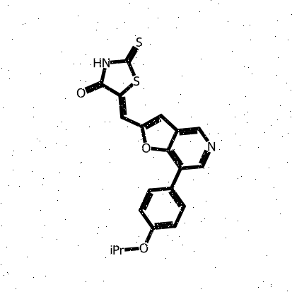 CC(C)Oc1ccc(-c2cncc3cc(/C=C4\SC(=S)NC4=O)oc23)cc1